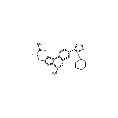 COC(=O)C(C)Cn1cc2c(N)nc3cc(-c4ccnn4C4CCCCO4)ccc3c2n1